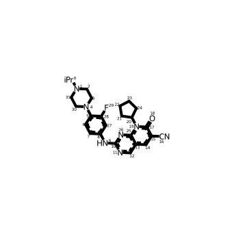 CC(C)N1CCN(c2ccc(Nc3ncc4cc(C#N)c(=O)n(C5CCCC5)c4n3)cc2F)CC1